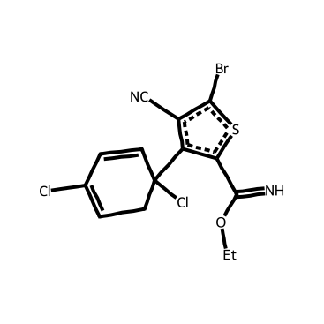 CCOC(=N)c1sc(Br)c(C#N)c1C1(Cl)C=CC(Cl)=CC1